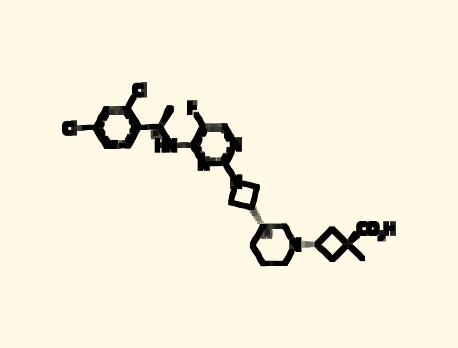 C[C@@H](Nc1nc(N2CC([C@H]3CCCN([C@H]4C[C@](C)(C(=O)O)C4)C3)C2)ncc1F)c1ccc(Cl)cc1Cl